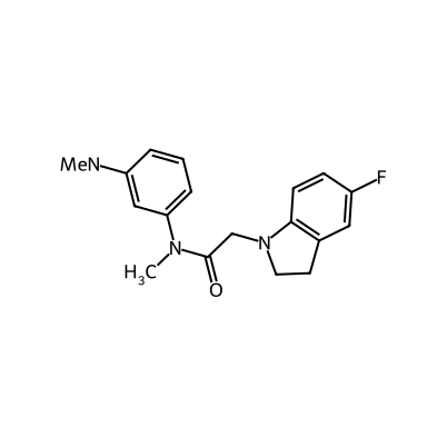 CNc1cccc(N(C)C(=O)CN2CCc3cc(F)ccc32)c1